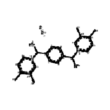 CCCC(c1ccc(C(CCC)[n+]2ccc(C)c(C)c2)cc1)[n+]1ccc(C)c(C)c1.[Br-].[Br-]